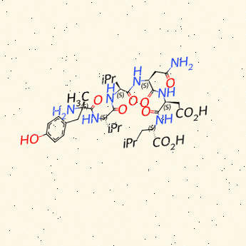 CC(C)C[C@H](NC(=O)[C@H](CC(=O)O)NC(=O)[C@H](CC(N)=O)NC(=O)[C@@H](NC(=O)[C@@H](NC(=O)[C@@](C)(N)Cc1ccc(O)cc1)C(C)C)C(C)C)C(=O)O